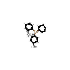 CC(C)(C)c1ccc([SH](c2ccccc2)c2ccccc2C(=O)O)cc1